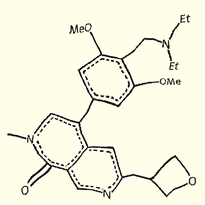 CCN(CC)Cc1c(OC)cc(-c2cn(C)c(=O)c3cnc(C4COC4)cc23)cc1OC